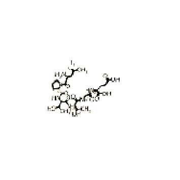 CC(C)C[C@H](N)C(=O)N1CCC[C@H]1C(=O)N[C@H](C(=O)N[C@H](C(=O)NCC(=O)N[C@@H](CCC(=O)O)C(=O)O)[C@@H](C)O)[C@@H](C)O